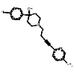 Nc1ccc(C#CCCN2CCC(O)(c3ccc(Cl)cc3)CC2)nc1